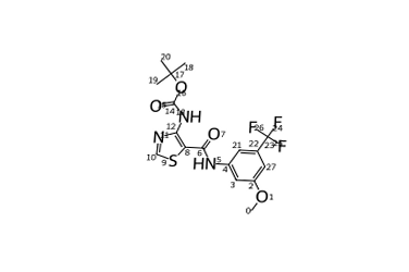 COc1cc(NC(=O)c2scnc2NC(=O)OC(C)(C)C)cc(C(F)(F)F)c1